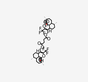 C[C@@H]1CC[C@H]2C(COC(=O)CCC(=O)OCC3=C(C(F)(F)F)O[C@@H]4O[C@]5(C)CCC6[C@H](C)CC[C@@H]3[C@]64OO5)=C(C(F)(F)F)O[C@@H]3O[C@]4(C)CCC1[C@]32OO4